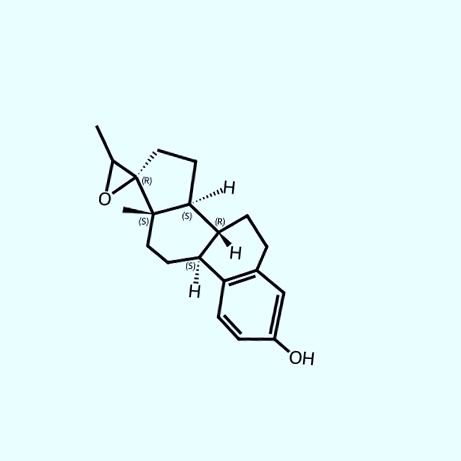 CC1O[C@@]12CC[C@H]1[C@@H]3CCc4cc(O)ccc4[C@H]3CC[C@@]12C